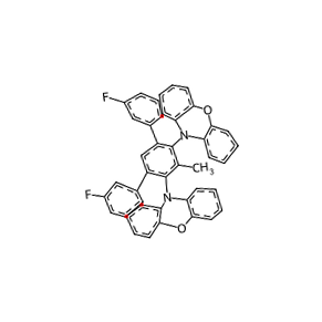 Cc1c(N2c3ccccc3Oc3ccccc32)c(-c2cccc(F)c2)cc(-c2cccc(F)c2)c1N1c2ccccc2Oc2ccccc21